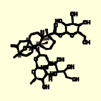 C=C1C[C@@]23CC[C@H]4[C@@](C)(CCC[C@@]4(C)C(=O)OC4OC(CO)C(O)C(O)C4O)[C@@H]2CC[C@@]1(C)OC3CC(CC(O)C(O)C(O)C(O)CO)OC1OC(C)C(O)C(O)C1O